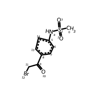 CS(=O)(=O)Nc1ccc(C(=O)CBr)cc1